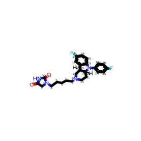 O=C1CN(CCCCCN2CC[C@@H]3[C@@H](C2)c2cc(F)ccc2N3c2ccc(F)cc2)C(=O)N1